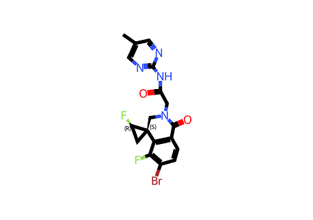 Cc1cnc(NC(=O)CN2C[C@]3(C[C@H]3F)c3c(ccc(Br)c3F)C2=O)nc1